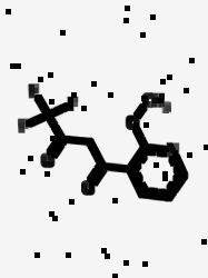 COc1ncccc1C(=O)CC(=O)C(F)(F)F